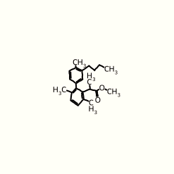 CCCCc1cc(-c2c(C)ccc(C)c2C(C)C(=O)OC)ccc1C